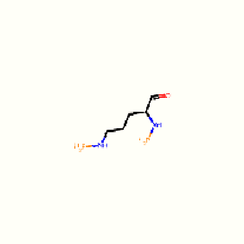 O=C[C@H](CCCNP)NP